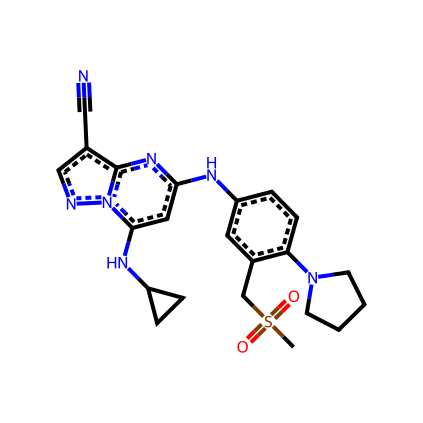 CS(=O)(=O)Cc1cc(Nc2cc(NC3CC3)n3ncc(C#N)c3n2)ccc1N1CCCC1